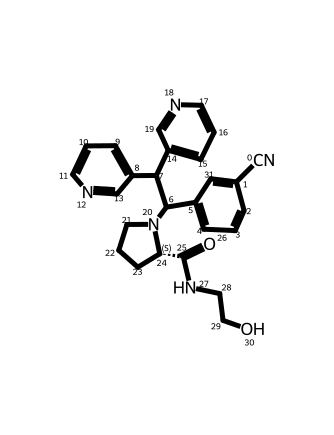 N#Cc1cccc(C(C(c2cccnc2)c2cccnc2)N2CCC[C@H]2C(=O)NCCO)c1